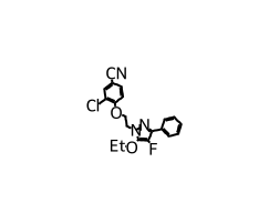 CCOc1c(F)c(-c2ccccc2)nn1CCOc1ccc(C#N)cc1Cl